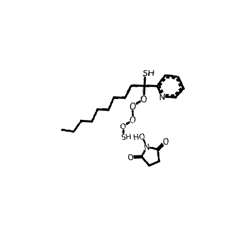 CCCCCCCCCC(S)(OOOOS)c1ccccn1.O=C1CCC(=O)N1O